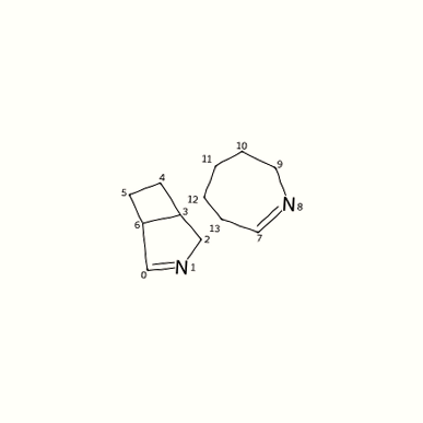 C1=NCC2CCC12.C1=NCCCCC1